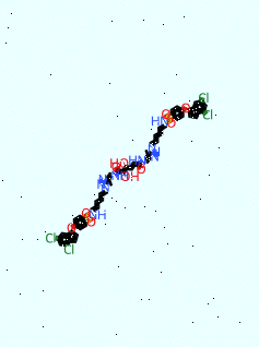 O=C(CC[C@@H](O)[C@H](O)C(=O)NCc1cn(CCCCCCNS(=O)(=O)c2ccc(O[C@@H]3CCc4c(Cl)cc(Cl)cc43)cc2)nn1)NCc1cn(CCCCCCNS(=O)(=O)c2ccc(O[C@@H]3CCc4c(Cl)cc(Cl)cc43)cc2)nn1